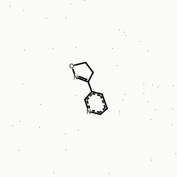 c1cncc(C2=NOCC2)c1